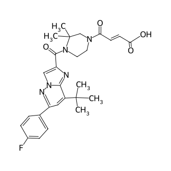 CC(C)(C)c1cc(-c2ccc(F)cc2)nn2cc(C(=O)N3CCN(C(=O)/C=C/C(=O)O)CC3(C)C)nc12